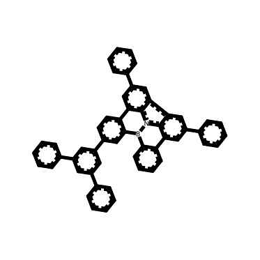 c1ccc(-c2cc(-c3ccccc3)cc(-c3ccc4c(c3)B3c5ccccc5-c5cc(-c6ccccc6)cc6c7cc(-c8ccccc8)cc-4c7n3c56)c2)cc1